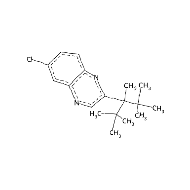 CC(C)(C)C(C)(c1cnc2cc(Cl)ccc2n1)C(C)(C)C